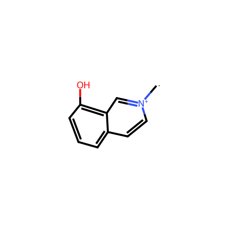 [CH2][n+]1ccc2cccc(O)c2c1